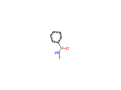 [O-][S+](NF)c1ccccc1